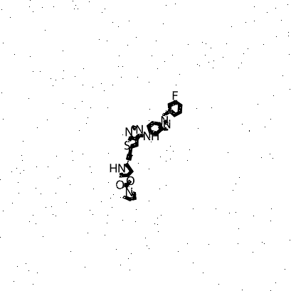 O=C(O[C@H]1CN[C@H](C#Cc2cc3c(Nc4ccc5c(cnn5Cc5cccc(F)c5)c4)ncnc3s2)C1)N1CCCC1